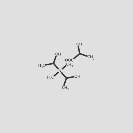 CC(O)C(=O)[O-].CC(O)[N+](C)(C)C(C)O